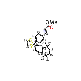 COC(=O)/C=C/c1ccc(C2(c3ccc4c(c3)C(C)(C)CCC4(C)C)SCCS2)cc1